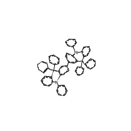 C1=CC(C2(c3ccccc3)c3ccccc3N(c3ccccc3)c3ccc(-c4ccc5c(c4)C(c4ccccc4)(c4ccccc4)c4ccccc4N5c4ccccc4)cc32)=CCC1